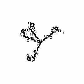 C=C1CCC(=O)N1OC(=O)CCC(=O)NCCCOCC(COCCCNC(=O)CCC(=O)ON1C(=O)CCC1=O)(COCCCNC(=O)CCC(=O)ON1C(=O)CCC1=O)COCCCNC(=O)CCC(=O)ON1C(=O)CCC1=O